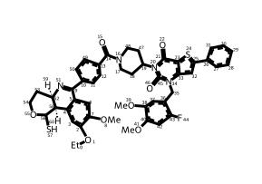 CCOc1cc2c(cc1OC)C(c1ccc(C(=O)N3CCC(n4c(=O)c5sc(-c6ccccc6)cc5n(Cc5cc(OC)c(OC)cc5F)c4=O)CC3)cc1)=N[C@@H]1CCOC(S)[C@H]21